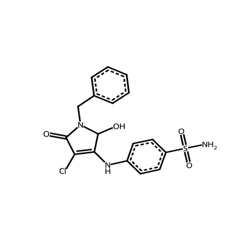 NS(=O)(=O)c1ccc(NC2=C(Cl)C(=O)N(Cc3ccccc3)C2O)cc1